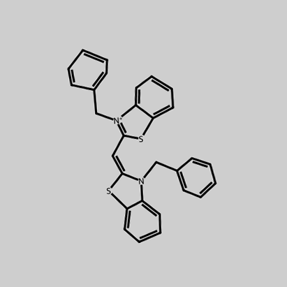 C(=C1\Sc2ccccc2N1Cc1ccccc1)/c1sc2ccccc2[n+]1Cc1ccccc1